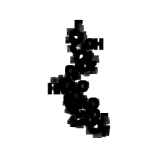 C[C@@H]1CN(CC(=O)N2CC(C)(C)c3nc(CO)c(Cc4ccc(F)cc4)cc32)[C@@H](C(=O)NCNC(=O)COc2c(-c3csc(N4CCOCC4)n3)ccc(F)c2F)CN1